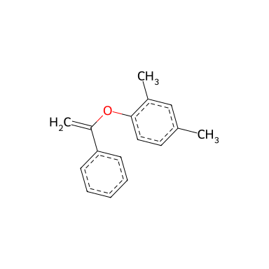 C=C(Oc1ccc(C)cc1C)c1ccccc1